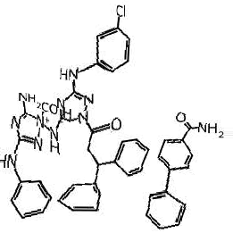 NC(=O)c1ccc(-c2ccccc2)cc1.NC1=NC(Nc2ccccc2)=N[N+]1(Nc1nc(Nc2cccc(Cl)c2)nn1C(=O)CC(c1ccccc1)c1ccccc1)C(=O)O